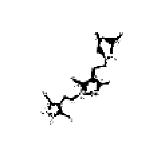 Cc1cn(CCc2c(C)nn(CCc3c(C)n[nH]c3C)c2C)nc1C